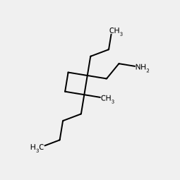 CCCCC1(C)CCC1(CCC)CCN